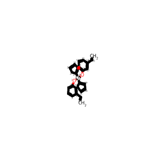 C=Cc1cccc([O][Zr]([O]c2cccc(C=C)c2)([C]2=CC=CC2)[C]2=CC=CC2)c1